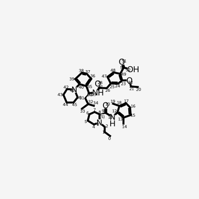 CCCN1CCCC[C@H]1C(=O)Nc1c(C)cccc1C.CCOc1cc(CC(=O)N[C@@H](CC(C)C)c2ccccc2N2CCCCC2)ccc1C(=O)O